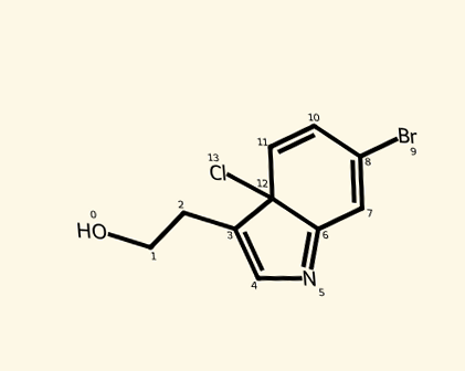 OCCC1=CN=C2C=C(Br)C=CC12Cl